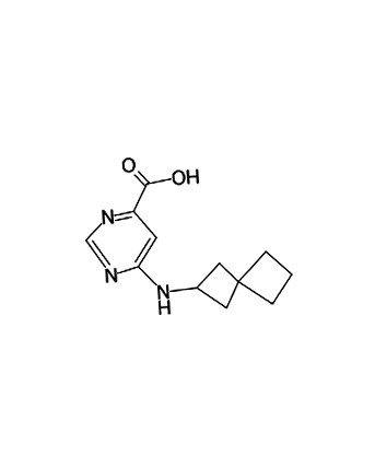 O=C(O)c1cc(NC2CC3(CCC3)C2)ncn1